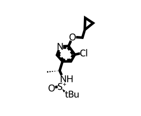 C[C@@H](N[S@+]([O-])C(C)(C)C)c1cnc(OCC2CC2)c(Cl)c1